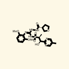 COc1cccc(OC)c1/N=C(/NNC(=O)[C@@H]1CCOC1)NS(=O)(=O)[C@@H](C)[C@H](O)c1ncc(C)cn1